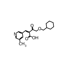 Cc1cncc(C=C(C(=O)O)C(=O)COCC2CCCCC2)c1